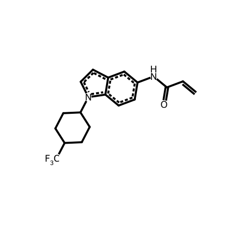 C=CC(=O)Nc1ccc2c(ccn2C2CCC(C(F)(F)F)CC2)c1